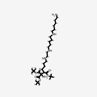 CC(C)(C)OC(=O)C(CCCCNCCNCCCCCNCCCCCCN)C(N)(C(=O)OC(C)(C)C)C(=O)OC(C)(C)C